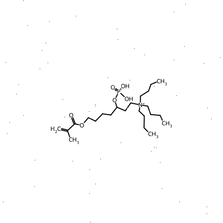 C=C(C)C(=O)OCCCCC(CC[N+](CCCC)(CCCC)CCCC)OP(=O)(O)O